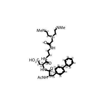 CNCCN(CCNC)CC(=O)NCCNC(=O)[C@H](CC(=O)O)NC(=O)[C@H](Cc1ccc(-c2ccccc2)cc1)NC(C)=O